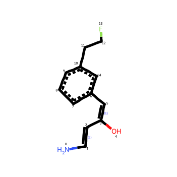 N/C=C/C(O)=C\c1cccc(CCF)c1